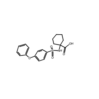 O=C(O)C1(NS(=O)(=O)c2ccc(Oc3ccccc3)cc2)CCCCC1